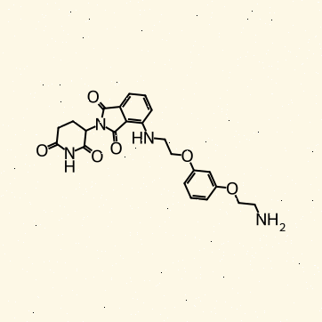 NCCOc1cccc(OCCNc2cccc3c2C(=O)N(C2CCC(=O)NC2=O)C3=O)c1